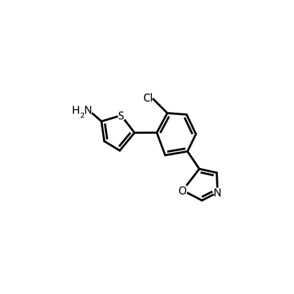 Nc1ccc(-c2cc(-c3cnco3)ccc2Cl)s1